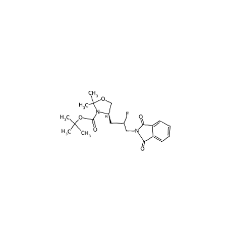 CC(C)(C)OC(=O)N1[C@H](CC(F)CN2C(=O)c3ccccc3C2=O)COC1(C)C